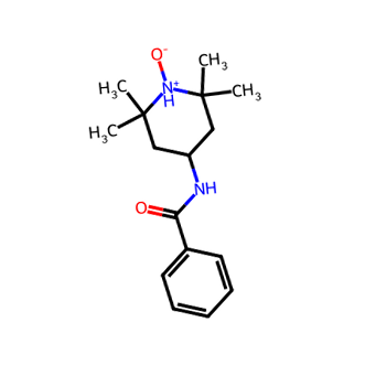 CC1(C)CC(NC(=O)c2ccccc2)CC(C)(C)[NH+]1[O-]